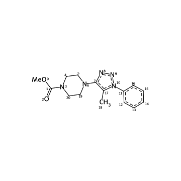 COC(=O)N1CCN(c2nnn(-c3ccccc3)c2C)CC1